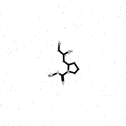 CC(C)(C)OC(=O)N1CCCC1CC(O)CBr